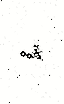 CC(NC(=O)c1c(O)c2cc(Cl)cn2n(Cc2ccc(-c3ccccc3)cc2)c1=O)C(=O)O